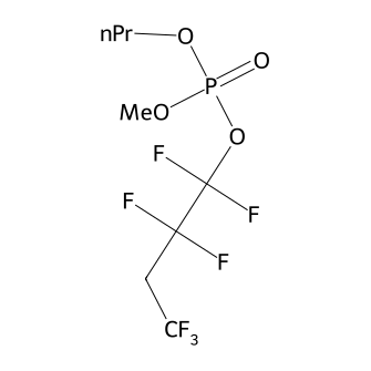 CCCOP(=O)(OC)OC(F)(F)C(F)(F)CC(F)(F)F